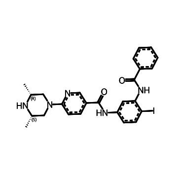 C[C@@H]1CN(c2ccc(C(=O)Nc3ccc(I)c(NC(=O)c4ccccc4)c3)cn2)C[C@H](C)N1